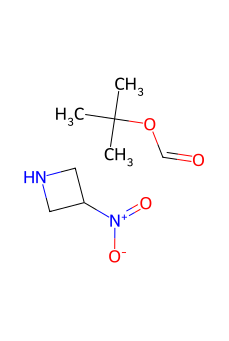 CC(C)(C)OC=O.O=[N+]([O-])C1CNC1